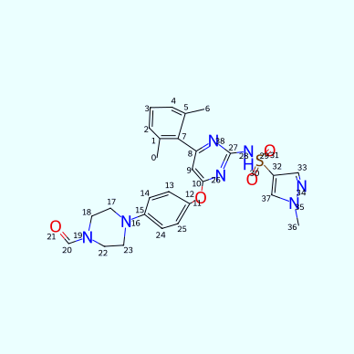 Cc1cccc(C)c1-c1cc(Oc2ccc(N3CCN(C=O)CC3)cc2)nc(NS(=O)(=O)c2cnn(C)c2)n1